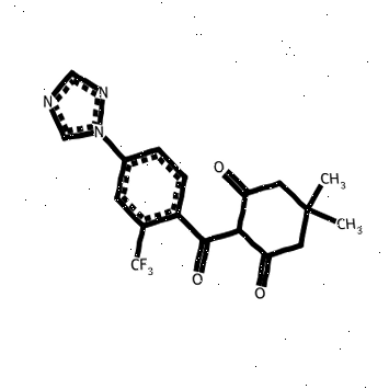 CC1(C)CC(=O)C(C(=O)c2ccc(-n3cncn3)cc2C(F)(F)F)C(=O)C1